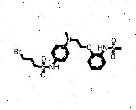 CN(CCOc1ccccc1NS(C)(=O)=O)c1ccc(NS(=O)(=O)CCCBr)cc1